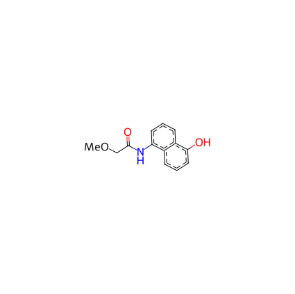 COCC(=O)Nc1cccc2c(O)cccc12